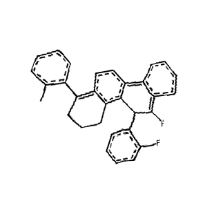 Cc1ccccc1C1=c2ccc3c(c2CCC1)C(c1ccccc1F)C(F)=c1ccccc1=3